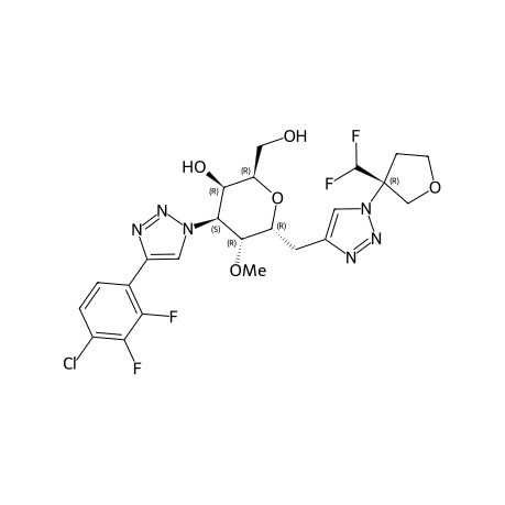 CO[C@@H]1[C@@H](n2cc(-c3ccc(Cl)c(F)c3F)nn2)[C@@H](O)[C@@H](CO)O[C@@H]1Cc1cn([C@]2(C(F)F)CCOC2)nn1